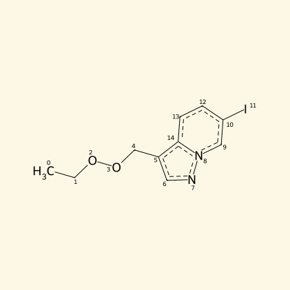 CCOOCc1cnn2cc(I)ccc12